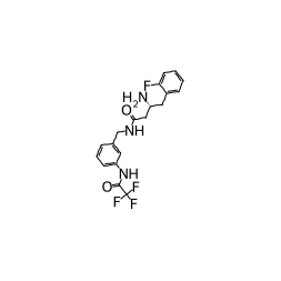 N[C@@H](CC(=O)NCc1cccc(NC(=O)C(F)(F)F)c1)Cc1ccccc1F